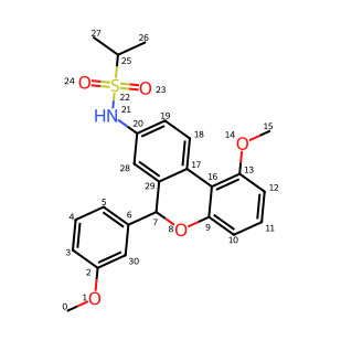 COc1cccc(C2Oc3cccc(OC)c3-c3ccc(NS(=O)(=O)C(C)C)cc32)c1